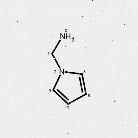 NCn1[c]ccc1